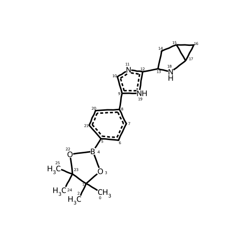 CC1(C)OB(c2ccc(-c3cnc(C4CC5CC5N4)[nH]3)cc2)OC1(C)C